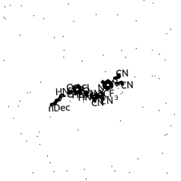 CCCCCCCCCCCCCCCCNS(=O)(=O)c1ccc(Cl)c(NC(=O)Nc2nn3c(c2C#N)C(C#N)=C(C(F)(F)F)/C3=N\c2ccc(N(CCC#N)CCC#N)cc2C)c1